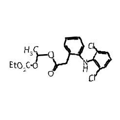 CCOC(=O)OC(C)OC(=O)Cc1ccccc1Nc1c(Cl)cccc1Cl